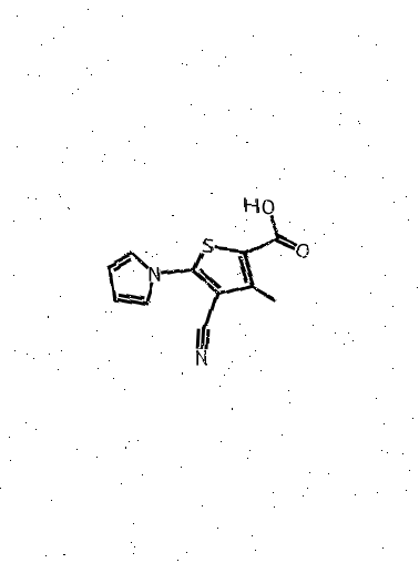 Cc1c(C(=O)O)sc(-n2cccc2)c1C#N